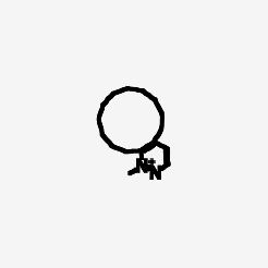 C[n+]1nccc2c1CCCCCCCCCCC2